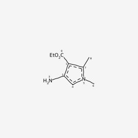 CCOC(=O)c1c(N)cn(C)c1C